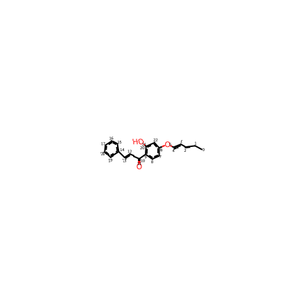 CCC/C=C/Oc1ccc(C(=O)/C=C/c2ccccc2)c(O)c1